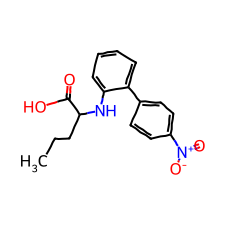 CCCC(Nc1ccccc1-c1ccc([N+](=O)[O-])cc1)C(=O)O